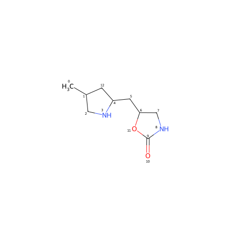 CC1CNC(CC2CNC(=O)O2)C1